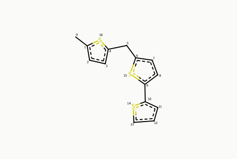 Cc1ccc(Cc2ccc(-c3cccs3)s2)s1